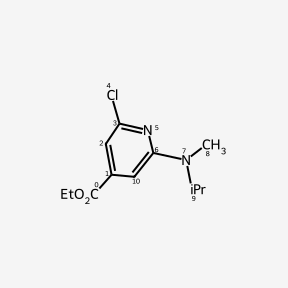 CCOC(=O)c1cc(Cl)nc(N(C)C(C)C)c1